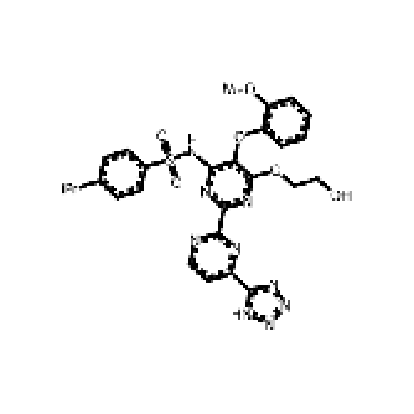 COc1ccccc1Oc1c(NS(=O)(=O)c2ccc(C(C)C)cc2)nc(-c2nccc(-c3nnn[nH]3)n2)nc1OCCO